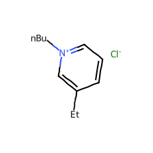 CCCC[n+]1cccc(CC)c1.[Cl-]